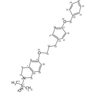 C[SH](C)(=O)N1CCc2cc(OCCCc3ccc(OCc4ccccc4)cc3)ccc2C1